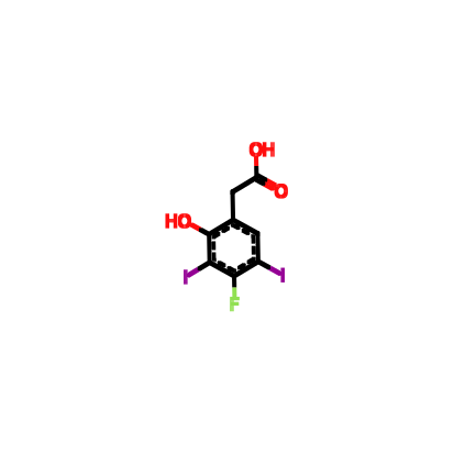 O=C(O)Cc1cc(I)c(F)c(I)c1O